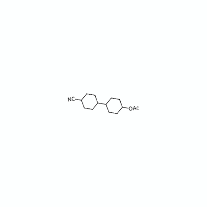 CC(=O)OC1CCC(C2CCC(C#N)CC2)CC1